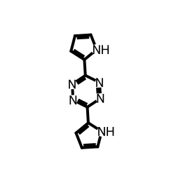 c1c[nH]c(-c2nnc(-c3ccc[nH]3)nn2)c1